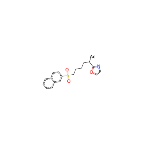 CC(=O)C(CCCCS(=O)(=O)c1ccc2ccccc2c1)c1ncco1